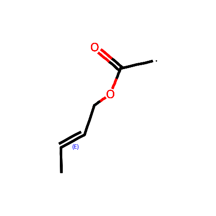 [CH2]C(=O)OC/C=C/C